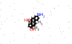 C[C@]12C=CC(N)C=C1C=C(O)[C@@H]1[C@H]2CC[C@]2(C)C(O)CC[C@@H]12